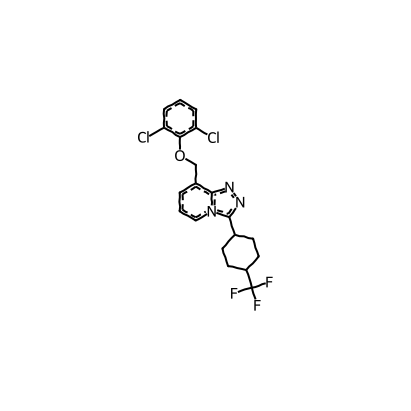 FC(F)(F)C1CCC(c2nnc3c(COc4c(Cl)cccc4Cl)cccn23)CC1